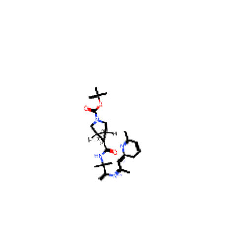 C=C(/N=C(C)\C=C1/CC=CC(C)=N1)C(C)(C)NC(=O)[C@H]1[C@@H]2CN(C(=O)OC(C)(C)C)C[C@@H]21